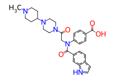 CN1CCC(N2CCN(C(=O)CN(C(=O)c3ccc4cc[nH]c4c3)c3ccc(C(=O)O)cc3)CC2)CC1